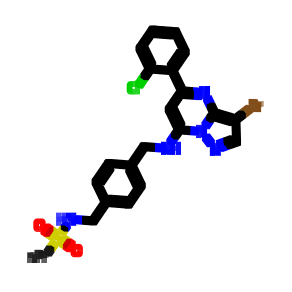 CCCS(=O)(=O)NCc1ccc(CNc2cc(-c3ccccc3Cl)nc3c(Br)cnn23)cc1